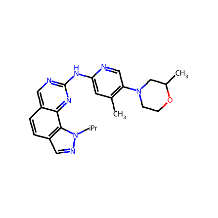 Cc1cc(Nc2ncc3ccc4cnn(C(C)C)c4c3n2)ncc1N1CCOC(C)C1